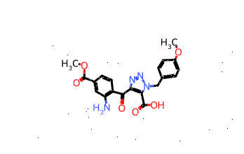 COC(=O)c1ccc(C(=O)c2nnn(Cc3ccc(OC)cc3)c2C(=O)O)c(N)c1